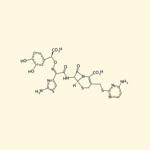 Nc1ccnc(SCC2=C(C(=O)O)N3C(=O)C(NC(=O)/C(=N\O[C@H](C(=O)O)c4ccc(O)c(O)c4)c4csc(N)n4)[C@@H]3SC2)n1